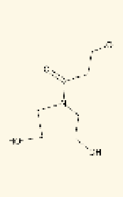 [O]CCC(=O)N(CCO)CCO